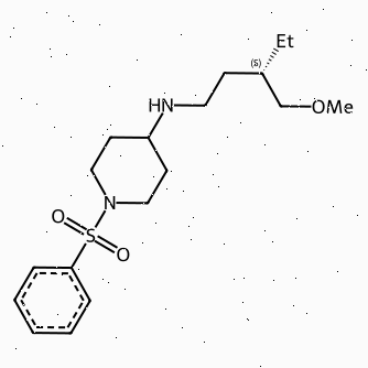 CC[C@@H](CCNC1CCN(S(=O)(=O)c2ccccc2)CC1)COC